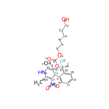 CC1=C(OC(=O)OCCCCCCO)C(c2ccccc2C(F)(F)F)C([N+](=O)[O-])=C(C)N1